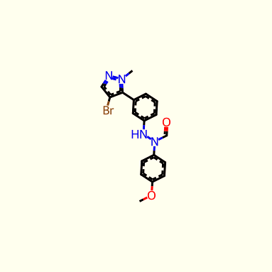 COc1ccc(N(C=O)Nc2cccc(-c3c(Br)cnn3C)c2)cc1